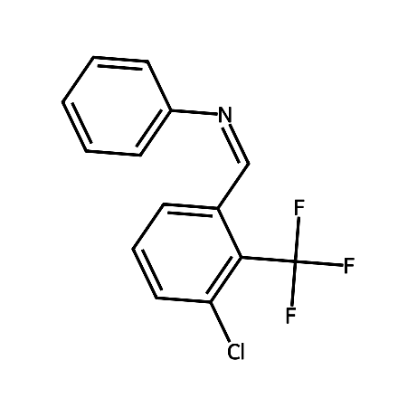 FC(F)(F)c1c(Cl)cccc1/C=N\c1ccccc1